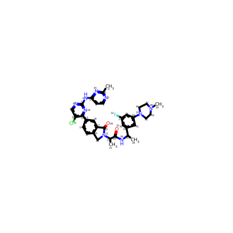 Cc1nccc(Nc2ncc(Cl)c(-c3ccc4c(c3)C(=O)N(C(C)C(=O)NC(C)c3cc(F)cc(N5CCN(C)CC5)c3)C4)n2)n1